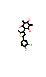 C=C1C(=O)C(=C)C(=O)C(c2cc(-c3ccc(Cl)c(Cl)c3)sc2C)C1=O